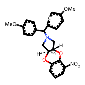 COc1ccc(C(c2ccc(OC)cc2)N2C[C@@H]3Oc4cccc([N+](=O)[O-])c4O[C@H]3C2)cc1